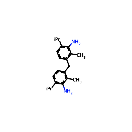 Cc1c(Cc2ccc(C(C)C)c(N)c2C)ccc(C(C)C)c1N